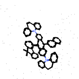 CC1(C)c2ccccc2-c2c(-c3c4ccc(N5c6ccccc6CCc6ccccc65)cc4c(-c4ccc5ccccc5c4)c4ccc(N5c6ccccc6CCc6ccccc65)cc34)cccc21